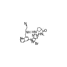 CNC(=O)[C@]1(C)CC[C@@H](Nc2ncc3c(Br)nn(-c4cc(CNCCC#N)c5ncccc5c4)c3n2)C1